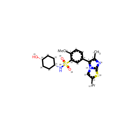 COc1ccc(-c2c(C)nc3sc(C(C)C)cn23)cc1S(=O)(=O)N[C@H]1CC[C@@H](O)CC1